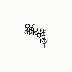 O=C(NC(=O)c1ccccc1[N+](=O)[O-])Nc1ccc(Oc2ncc(I)cn2)c(C(F)(F)F)c1